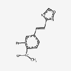 CC(C)c1cc(C=Cc2ncon2)ccc1[S+](C)[O-]